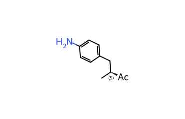 CC(=O)[C@@H](C)Cc1ccc(N)cc1